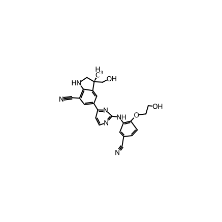 C[C@]1(CO)CNc2c(C#N)cc(-c3ccnc(Nc4cc(C#N)ccc4OCCO)n3)cc21